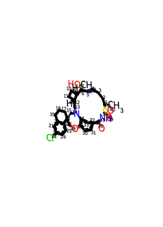 C[C@H]1CC/C=C/[C@](C)(O)[C@@H]2CC[C@H]2CN2C[C@@]3(CCCc4cc(Cl)ccc43)COc3ccc(cc32)C(=O)NS1(=O)=O